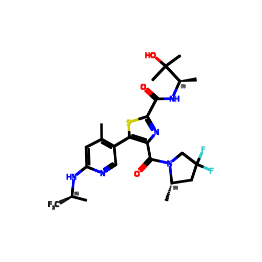 Cc1cc(N[C@@H](C)C(F)(F)F)ncc1-c1sc(C(=O)N[C@H](C)C(C)(C)O)nc1C(=O)N1CC(F)(F)C[C@@H]1C